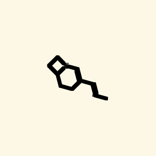 C/[C]=C/C1=CN2CCC2CC1